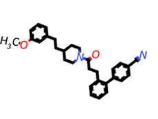 COc1cccc(CCC2CCN(C(=O)CCc3ccccc3-c3ccc(C#N)cc3)CC2)c1